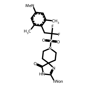 CCCCCCCCCC1=NC2(CCN(S(=O)(=O)C(F)(F)Cc3c(C)cc(NC)cc3C)CC2)C(=O)N1